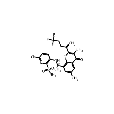 C=C(CCC(F)(F)F)c1oc2c([C@@H](C)Nc3ccc(Cl)nc3S(N)(=O)=O)cc(C)cc2c(=O)c1C